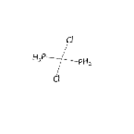 PC(P)(Cl)Cl